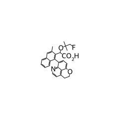 Cc1cc2ccccc2c(-c2ccc3c4c(ccnc24)CCO3)c1C(OC(C)(C)CF)C(=O)O